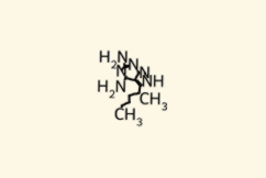 CCCCC(C)c1[nH]nc2nc(N)nc(N)c12